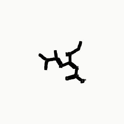 CCNC(=N[N+](=O)[O-])N=C(C)N(C)C